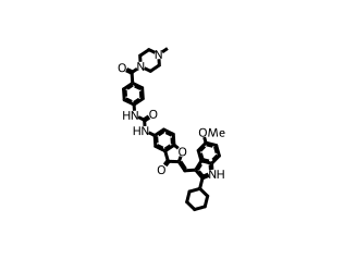 COc1ccc2[nH]c(C3CCCCC3)c(C=C3Oc4ccc(NC(=O)Nc5ccc(C(=O)N6CCN(C)CC6)cc5)cc4C3=O)c2c1